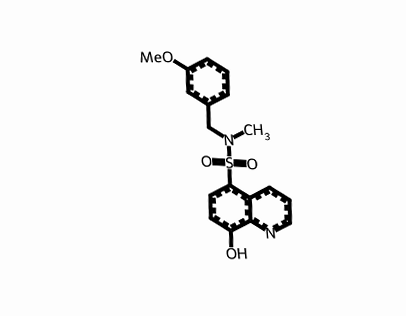 COc1cccc(CN(C)S(=O)(=O)c2ccc(O)c3ncccc23)c1